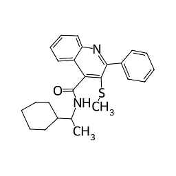 CSc1c(-c2ccccc2)nc2ccccc2c1C(=O)NC(C)C1CCCCC1